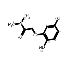 CN(C)C(=O)COc1cc(Cl)ccc1O